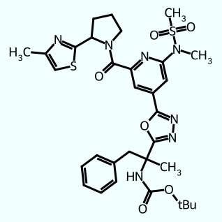 Cc1csc(C2CCCN2C(=O)c2cc(-c3nnc(C(C)(Cc4ccccc4)NC(=O)OC(C)(C)C)o3)cc(N(C)S(C)(=O)=O)n2)n1